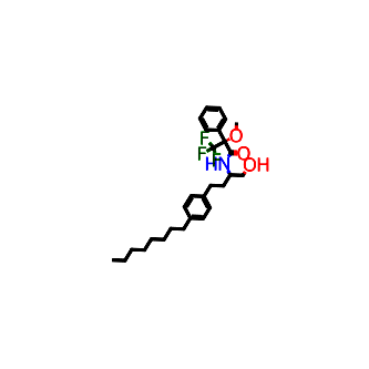 CCCCCCCCc1ccc(CCC(CO)NC(=O)[C@@](OC)(c2ccccc2)C(F)(F)F)cc1